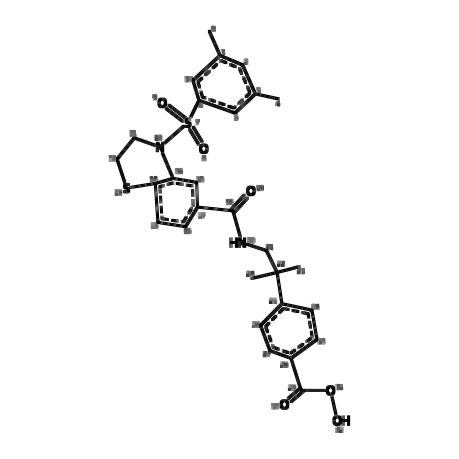 Cc1cc(C)cc(S(=O)(=O)N2CCSc3ccc(C(=O)NCC(C)(C)c4ccc(C(=O)OO)cc4)cc32)c1